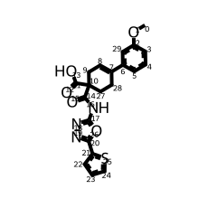 COc1cccc(C2=CCC(C(=O)O)(C(=O)Nc3nnc(-c4cccs4)o3)CC2)c1